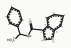 O=C(NC(C(=O)O)c1ccccc1)c1nsc2ccccc12